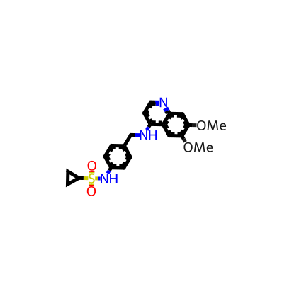 COc1cc2nccc(NCc3ccc(NS(=O)(=O)C4CC4)cc3)c2cc1OC